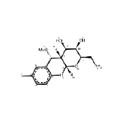 CO[C@H]1c2cc(C)ccc2O[C@H]2O[C@H](CN)[C@H](O)[C@H](O)[C@H]21